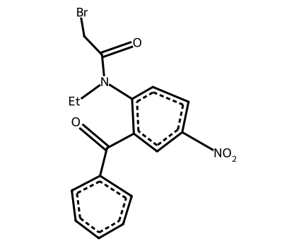 CCN(C(=O)CBr)c1ccc([N+](=O)[O-])cc1C(=O)c1ccccc1